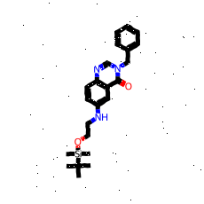 CC(C)(C)[Si](C)(C)OCCNc1ccc2ncn(Cc3ccccc3)c(=O)c2c1